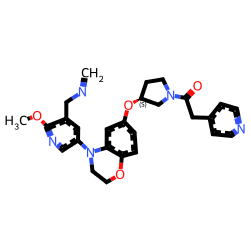 C=NCc1cc(N2CCOc3ccc(O[C@H]4CCN(C(=O)Cc5ccncc5)C4)cc32)cnc1OC